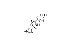 Cn1cnc(S(=O)(=O)NC(=O)/C(O)=C/C(=O)O)c1